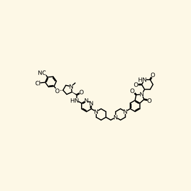 CN1C[C@@H](Oc2ccc(C#N)c(Cl)c2)C[C@@H]1C(=O)Nc1ccc(N2CCC(CN3CCN(c4ccc5c(c4)C(=O)N(C4CCC(=O)NC4=O)C5=O)CC3)CC2)nn1